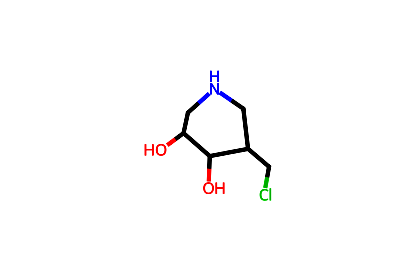 OC1CNCC(CCl)C1O